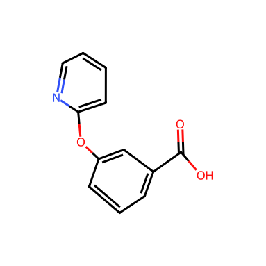 O=C(O)c1cccc(Oc2ccccn2)c1